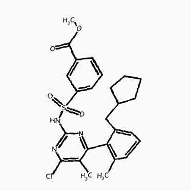 COC(=O)c1cccc(S(=O)(=O)Nc2nc(Cl)c(C)c(-c3c(C)cccc3CC3CCCC3)n2)c1